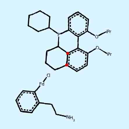 CC(C)Oc1ccccc1-c1c(OC(C)C)cccc1P(C1CCCCC1)C1CCCCC1.NCCc1cccc[c]1[Pd][Cl]